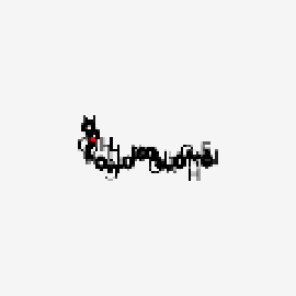 O=C(NCc1cccnc1F)c1ccc([C@@H]2C[C@H]2C(=O)Nc2ccc3cnc(C4CCC(CNC(=O)c5ccc([C@@H]6C[C@H]6C(=O)Nc6ccc7cnccc7c6)cc5)CC4)cc3c2)cc1